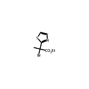 CCOC(=O)C(C)(Br)c1n[c]cs1